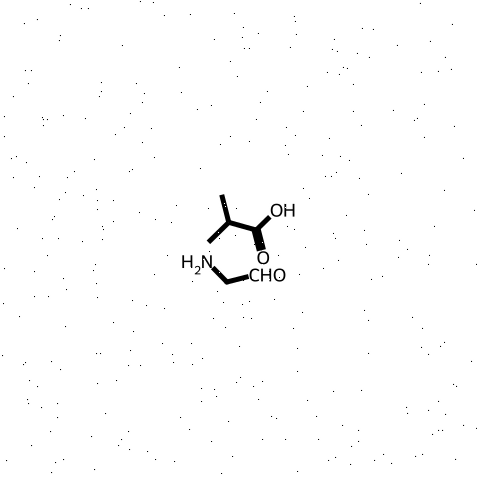 CC(C)C(=O)O.NCC=O